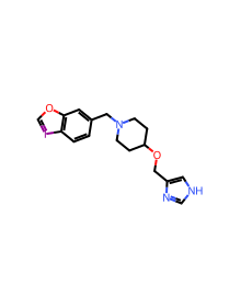 C1=Ic2ccc(CN3CCC(OCc4c[nH]cn4)CC3)cc2O1